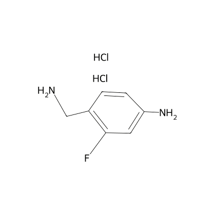 Cl.Cl.NCc1ccc(N)cc1F